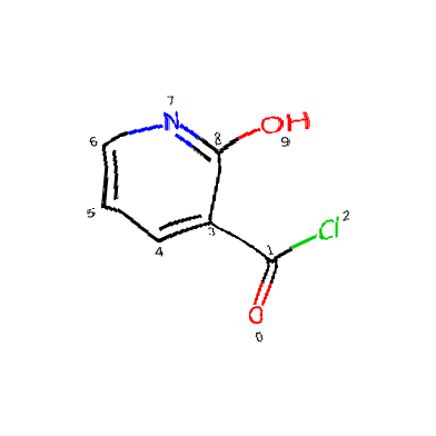 O=C(Cl)c1cccnc1O